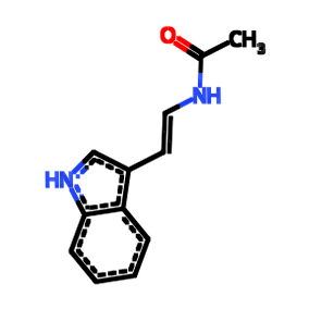 CC(=O)NC=Cc1c[nH]c2ccccc12